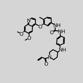 C=CC(=O)N1CCC(Nc2ccc(NC(=O)Nc3ccc(C)c(Oc4ccnc5cc(OC)c(OC)cc45)c3)cc2)CC1